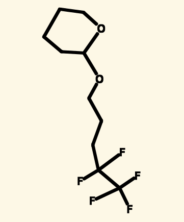 FC(F)(F)C(F)(F)CCCOC1CCCCO1